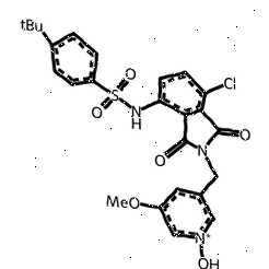 COc1cc(CN2C(=O)c3c(Cl)ccc(NS(=O)(=O)c4ccc(C(C)(C)C)cc4)c3C2=O)c[n+](O)c1